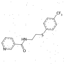 O=C(NCCSc1ccc(C(F)(F)F)cc1)c1cccnc1